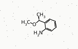 CO[C@@H](C)c1ccccc1N